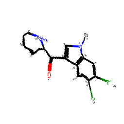 CCn1cc(C(=O)C2CCCN2)c2cc(Br)c(F)cc21